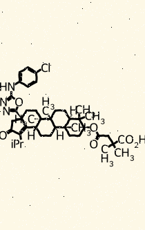 CC(C)C1=C2[C@H]3CC[C@@H]4[C@@]5(C)CC[C@H](OC(=O)CC(C)(C)C(=O)O)C(C)(C)[C@@H]5CC[C@@]4(C)[C@]3(C)CC[C@@]2(c2nnc(Nc3ccc(Cl)cc3)o2)CC1=O